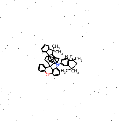 CC1(C)CCC(C)(C)c2cc(N(c3ccc4c(c3)C(C)(C)c3ccccc3-4)c3cccc4c3C3(c5ccccc5O4)C4CC5CC46C4C5C4C36)ccc21